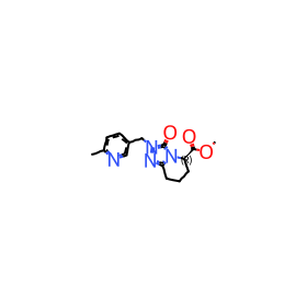 COC(=O)[C@H]1CCCc2nn(Cc3ccc(C)nc3)c(=O)n21